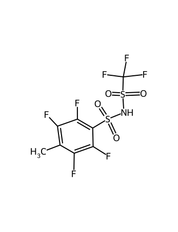 Cc1c(F)c(F)c(S(=O)(=O)NS(=O)(=O)C(F)(F)F)c(F)c1F